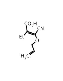 C=CCOC(C#N)=C(CC)C(=O)O